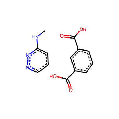 CNc1cccnn1.O=C(O)c1cccc(C(=O)O)c1